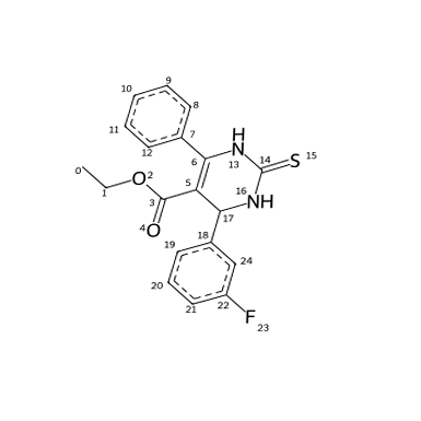 CCOC(=O)C1=C(c2ccccc2)NC(=S)NC1c1cccc(F)c1